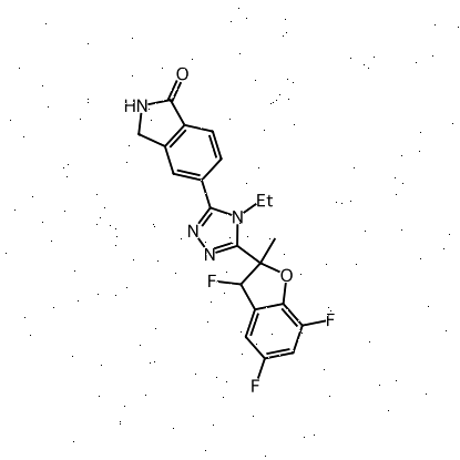 CCn1c(-c2ccc3c(c2)CNC3=O)nnc1C1(C)Oc2c(F)cc(F)cc2C1F